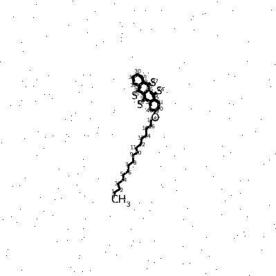 CCCCCCCCCCCCCCCCCCOc1ccc2c(=S)c3c(=S)c4ccccc4c(=S)c=3c(=S)c2c1